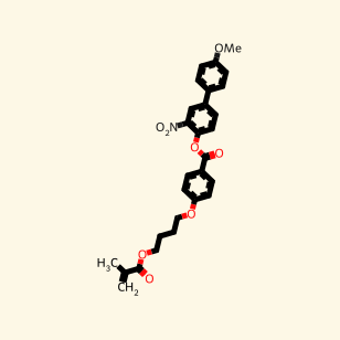 C=C(C)C(=O)OCCCCOc1ccc(C(=O)Oc2ccc(-c3ccc(OC)cc3)cc2[N+](=O)[O-])cc1